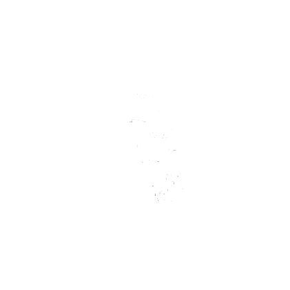 c1ccc(-c2ccc(C3NC4CCC3CC4)cn2)cc1